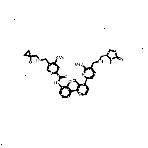 COc1cc(C(=O)Nc2cccc(-c3nccc(-c4ccc(CNC[C@H]5CCC(=O)N5)c(OC)n4)c3Cl)c2Cl)ncc1CNCC1(O)CC1